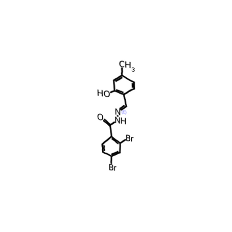 Cc1ccc(/C=N/NC(=O)c2ccc(Br)cc2Br)c(O)c1